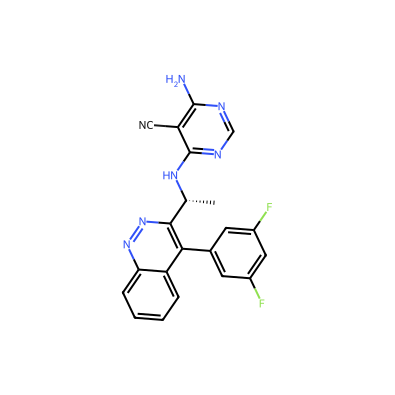 C[C@@H](Nc1ncnc(N)c1C#N)c1nnc2ccccc2c1-c1cc(F)cc(F)c1